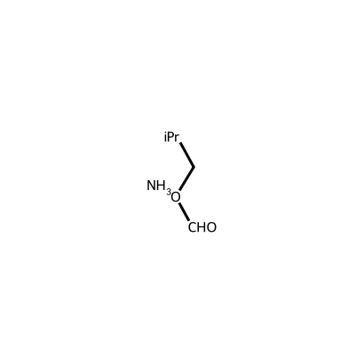 CC(C)COC=O.N